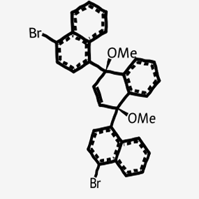 CO[C@@]1(c2ccc(Br)c3ccccc23)C=C[C@](OC)(c2ccc(Br)c3ccccc23)c2ccccc21